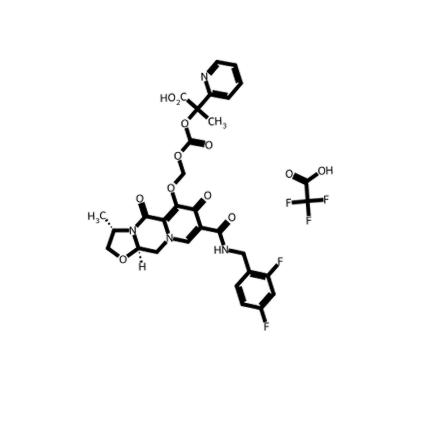 C[C@H]1CO[C@@H]2Cn3cc(C(=O)NCc4ccc(F)cc4F)c(=O)c(OCOC(=O)OC(C)(C(=O)O)c4ccccn4)c3C(=O)N12.O=C(O)C(F)(F)F